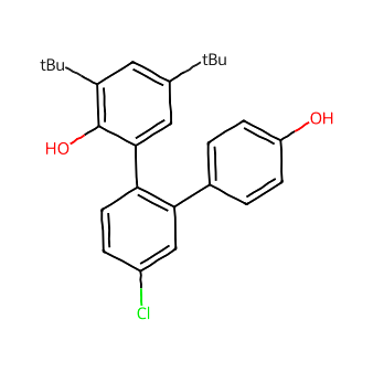 CC(C)(C)c1cc(-c2ccc(Cl)cc2-c2ccc(O)cc2)c(O)c(C(C)(C)C)c1